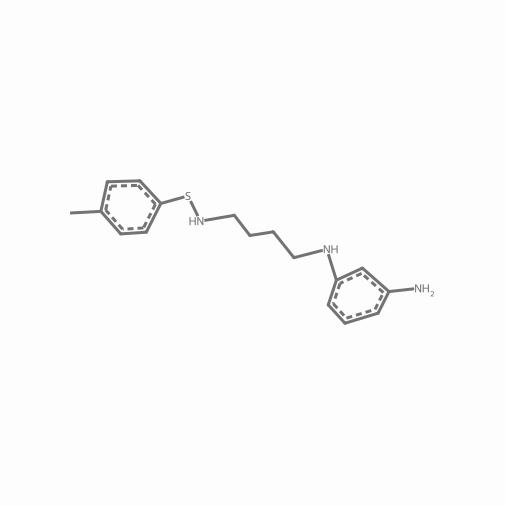 Cc1ccc(SNCCCCNc2cccc(N)c2)cc1